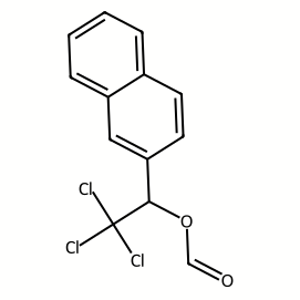 O=COC(c1ccc2ccccc2c1)C(Cl)(Cl)Cl